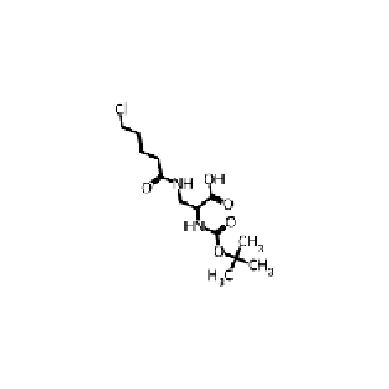 CC(C)(C)OC(=O)NC(CNC(=O)CCCCCl)C(=O)O